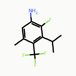 Cc1cc(N)c(F)c(C(C)C)c1C(F)(F)F